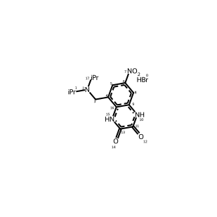 Br.CC(C)N(Cc1cc([N+](=O)[O-])cc2[nH]c(=O)c(=O)[nH]c12)C(C)C